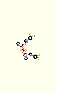 O=C(OC(COc1ccn(-c2ccc(Cl)c(Cl)c2)n1)CN1CCCC1)C(=O)OC(COc1ccn(-c2ccc(Cl)c(Cl)c2)n1)CN1CCCC1